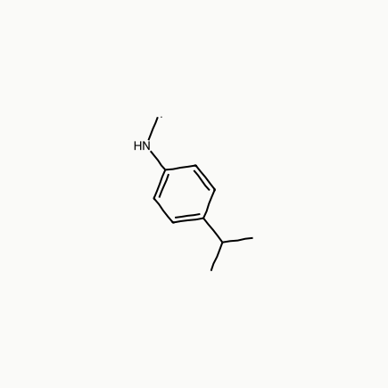 [CH2]Nc1ccc(C(C)C)cc1